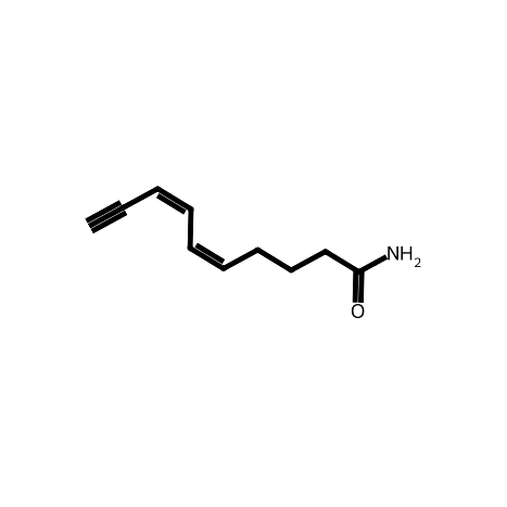 C#C/C=C\C=C/CCCC(N)=O